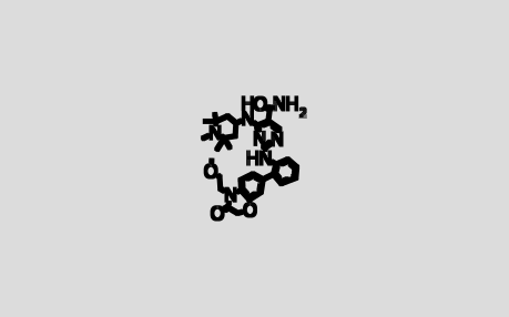 COCCN1C(=O)COc2cc(-c3ccccc3Nc3ncc(C(N)=O)c(NC4CC(C)(C)N(C)C(C)(C)C4)n3)ccc21